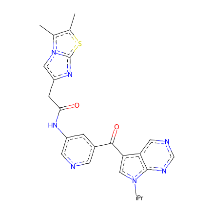 Cc1sc2nc(CC(=O)Nc3cncc(C(=O)c4cn(C(C)C)c5ncncc45)c3)cn2c1C